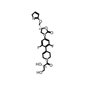 O=C([C@@H](O)CO)N1CC=C(c2c(F)cc(N3C[C@H](COC4=NCC=C4)OC3=O)cc2F)CC1